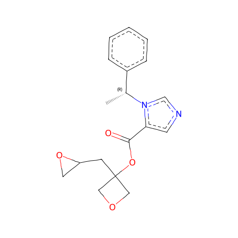 C[C@H](c1ccccc1)n1cncc1C(=O)OC1(CC2CO2)COC1